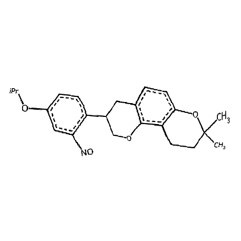 CC(C)Oc1ccc(C2COc3c(ccc4c3CCC(C)(C)O4)C2)c(N=O)c1